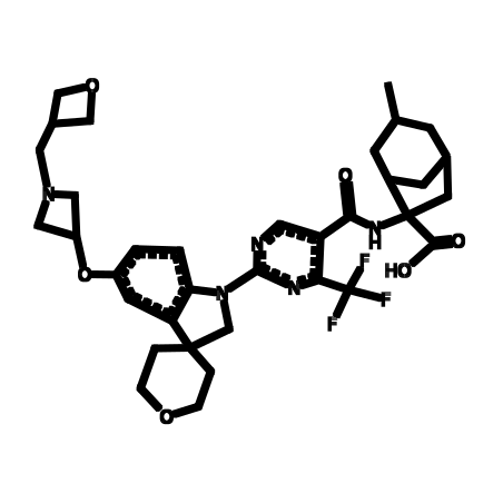 CC1CC2CC(C1)C(NC(=O)c1cnc(N3CC4(CCOCC4)c4cc(OC5CN(CC6COC6)C5)ccc43)nc1C(F)(F)F)(C(=O)O)C2